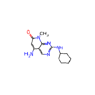 Cn1c(=O)cc(N)c2cnc(NC3CCCCC3)nc21